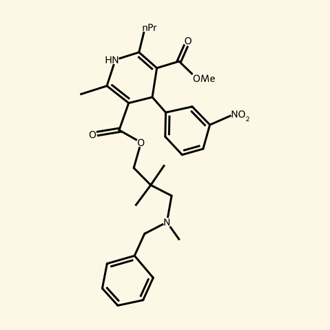 CCCC1=C(C(=O)OC)C(c2cccc([N+](=O)[O-])c2)C(C(=O)OCC(C)(C)CN(C)Cc2ccccc2)=C(C)N1